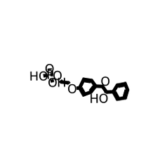 O=C(c1ccc(OCCOP(=O)(O)O)cc1)C(O)c1ccccc1